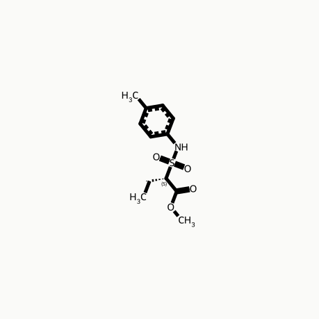 C[CH][C@@H](C(=O)OC)S(=O)(=O)Nc1ccc(C)cc1